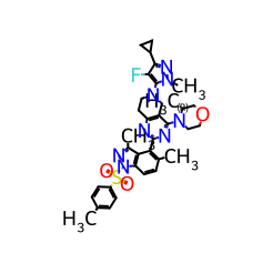 Cc1ccc(S(=O)(=O)n2nc(C)c3c(-c4nc5c(c(N6CCOC[C@H]6C)n4)CN(c4c(F)c(C6CC6)nn4C)CC5)c(C)ccc32)cc1